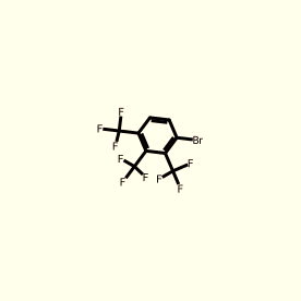 FC(F)(F)c1ccc(Br)c(C(F)(F)F)c1C(F)(F)F